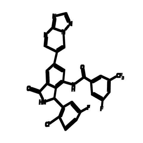 O=C(Nc1cc(-c2cnc3ncnn3c2)cc2c1C(c1cc(F)ccc1Cl)NC2=O)c1cc(F)cc(C(F)(F)F)c1